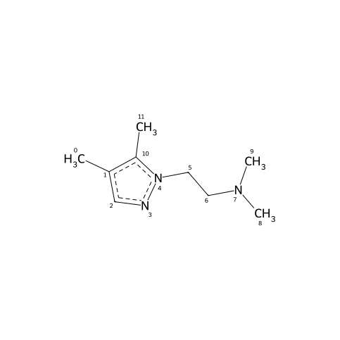 Cc1cnn(CCN(C)C)c1C